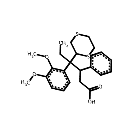 CCC(c1cccc(OC)c1OC)(C1CSCCS1)C(CC(=O)O)c1ccccc1